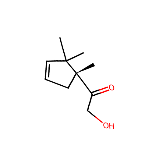 CC1(C)C=CC[C@@]1(C)C(=O)CO